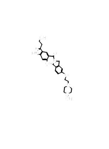 CCCc1n[nH]c2cc(O)c(C(=O)N3Cc4ccc(OCCN5CCN(C)CC5)cc4C3)cc12